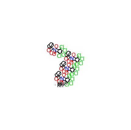 O=C([O-])C(N1C(=O)c2c(Cl)c(Cl)c(Cl)c(Cl)c2C1=O)C12CC3CC(CC(C3)C1)C2.O=C([O-])C(N1C(=O)c2c(Cl)c(Cl)c(Cl)c(Cl)c2C1=O)C12CC3CC(CC(C3)C1)C2.O=C([O-])C(N1C(=O)c2c(Cl)c(Cl)c(Cl)c(Cl)c2C1=O)C12CC3CC(CC(C3)C1)C2.O=C([O-])C(N1C(=O)c2c(Cl)c(Cl)c(Cl)c(Cl)c2C1=O)C12CC3CC(CC(C3)C1)C2.[Rh+2].[Rh+2]